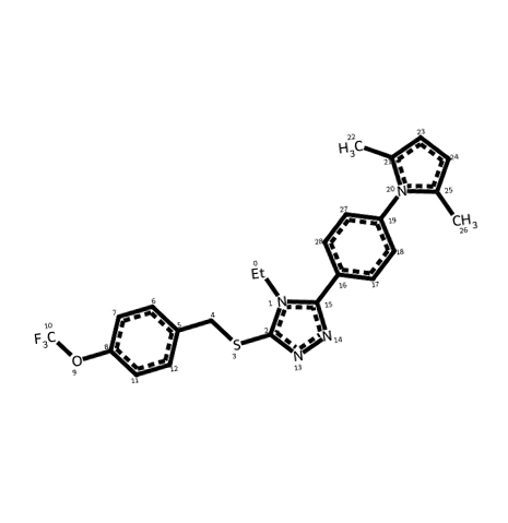 CCn1c(SCc2ccc(OC(F)(F)F)cc2)nnc1-c1ccc(-n2c(C)ccc2C)cc1